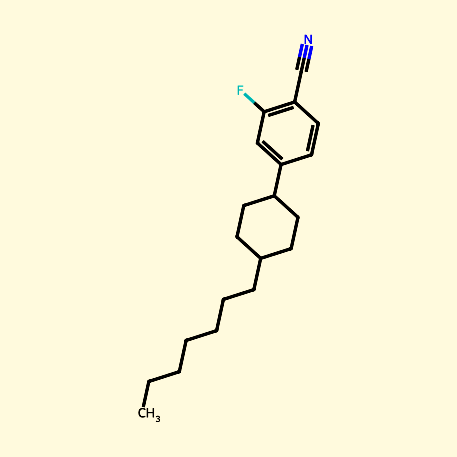 CCCCCCCC1CCC(c2ccc(C#N)c(F)c2)CC1